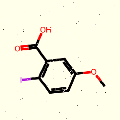 COc1ccc(I)c(C(=O)O)c1